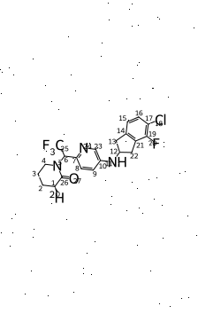 [2H][C@H]1CCCN(C(c2ccc(NC3Cc4ccc(Cl)c(F)c4C3)cn2)C(F)(F)F)C1=O